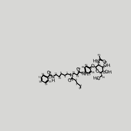 CCCCC(=O)N(CCCCCNC(=O)c1ccccc1)CCC(=O)Nc1ccc(O[C@@H]2O[C@H](CO)[C@H](O)[C@H](O)[C@@H]2NC(C)=O)cc1